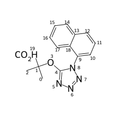 CC(C)(Oc1nnnn1-c1cccc2ccccc12)C(=O)O